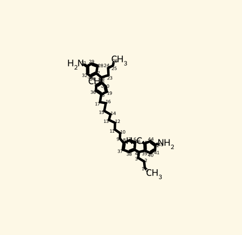 CCCCC(c1ccc(CCCCCCCCCc2ccc(C(CCCC)c3ccc(N)cc3C)cc2)cc1)c1ccc(N)cc1C